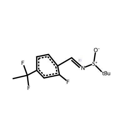 CC(F)(F)c1ccc(/C=N/[S+]([O-])C(C)(C)C)c(F)c1